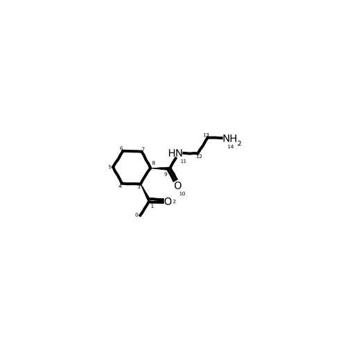 CC(=O)[C@H]1CCCC[C@H]1C(=O)NCCN